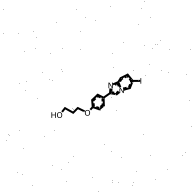 OCCCOc1ccc(-c2cn3cc(I)ccc3n2)cc1